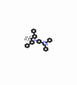 CC1(C)c2cc(-c3ccccc3)ccc2N(c2ccc(-c3cc(-c4ccccc4)nc(-c4ccccc4)n3)cc2)c2ccc(-c3ccccc3)cc21